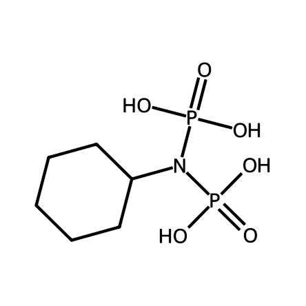 O=P(O)(O)N(C1CCCCC1)P(=O)(O)O